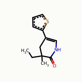 CCC1(C)CC(c2cccs2)=CNC1=O